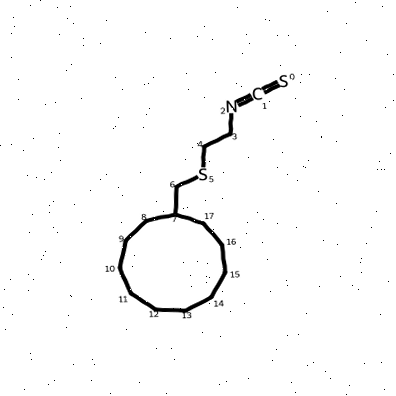 S=C=NCCSCC1CCCCCCCCCC1